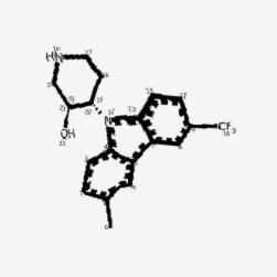 Cc1ccc2c(c1)c1cc(C(F)(F)F)ccc1n2[C@H]1CCNC[C@@H]1O